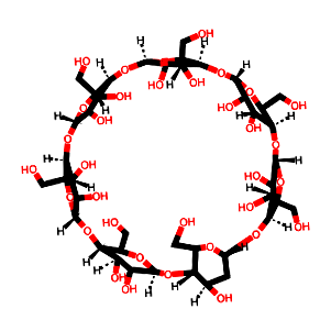 OCC1O[C@H]2C[C@@H](O)[C@@H]1O[C@@H]1OC(CO)[C@@H](O[C@@H]3OC(CO)[C@@H](O[C@@H]4OC(CO)[C@@H](O[C@H]5OC(CO)[C@@H](O[C@@H]6OC(CO)[C@@H](O[C@@H]7OC(CO)[C@@H](O2)[C@H](O)C7O)[C@H](O)C6O)[C@H](O)C5O)[C@H](O)C4O)[C@H](O)C3O)[C@H](O)C1O